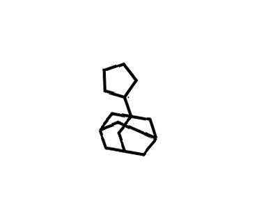 C1CC[C](C23CC4CC(CC(C4)C2)C3)C1